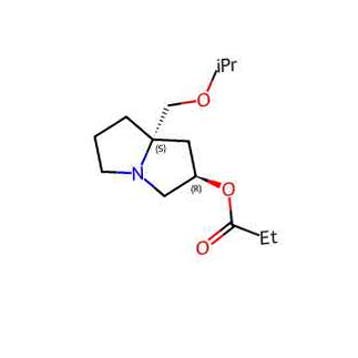 CCC(=O)O[C@H]1CN2CCC[C@@]2(COC(C)C)C1